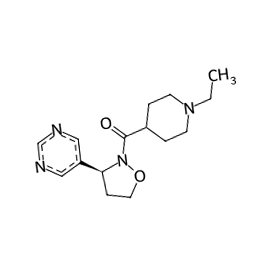 CCN1CCC(C(=O)N2OCC[C@H]2c2cncnc2)CC1